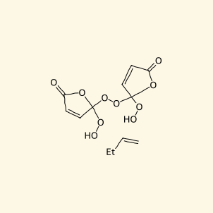 C=CCC.O=C1C=CC(OO)(OOC2(OO)C=CC(=O)O2)O1